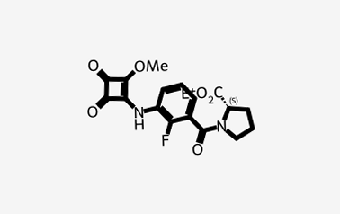 CCOC(=O)[C@@H]1CCCN1C(=O)c1cccc(Nc2c(OC)c(=O)c2=O)c1F